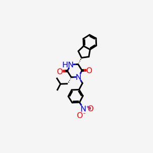 CC(C)C[C@@H]1C(=O)N[C@H](C2Cc3ccccc3C2)C(=O)N1Cc1cccc([N+](=O)[O-])c1